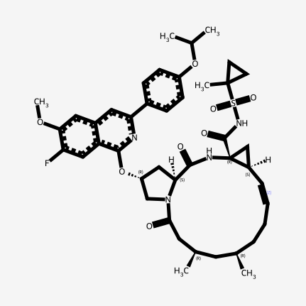 COc1cc2cc(-c3ccc(OC(C)C)cc3)nc(O[C@@H]3C[C@H]4C(=O)N[C@]5(C(=O)NS(=O)(=O)C6(C)CC6)C[C@H]5/C=C\CC[C@@H](C)C[C@@H](C)CC(=O)N4C3)c2cc1F